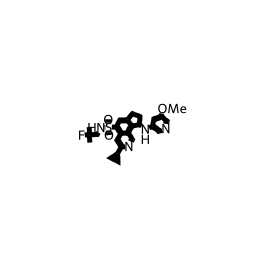 COc1cncc(NC2CCc3cc(S(=O)(=O)NCC(C)(C)F)c4cc(C5CC5)ncc4c32)c1